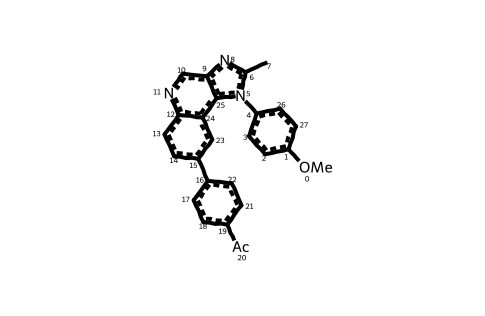 COc1ccc(-n2c(C)nc3cnc4ccc(-c5ccc(C(C)=O)cc5)cc4c32)cc1